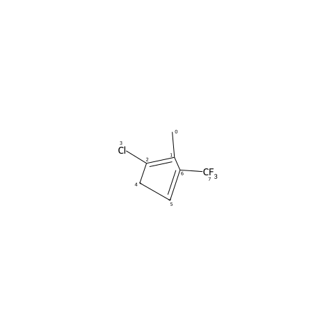 CC1=C(Cl)CC=C1C(F)(F)F